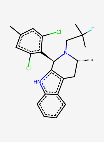 Cc1cc(Cl)c([C@@H]2c3[nH]c4ccccc4c3C[C@@H](C)N2CC(C)(C)F)c(Cl)c1